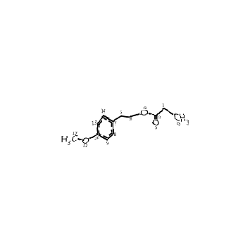 CCC(=O)OCCc1ccc(OC)cc1